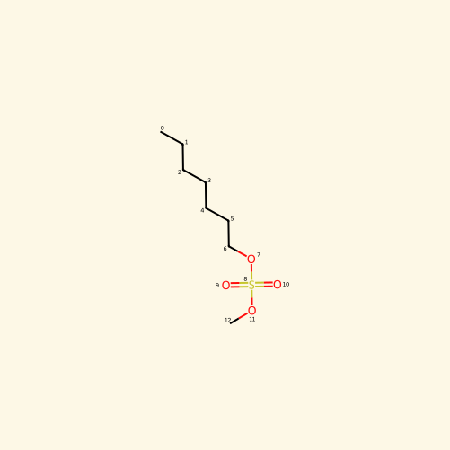 CCCCCCCOS(=O)(=O)OC